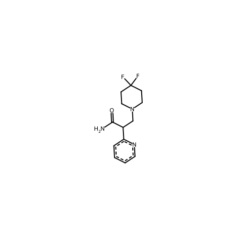 NC(=O)C(CN1CCC(F)(F)CC1)c1ccccn1